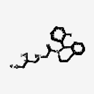 COC[C@@H](O)CNCC(=O)N1CCc2ccccc2C1c1ccccc1F